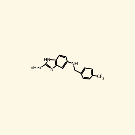 CCCCCCc1nc2cc(NCc3ccc(C(F)(F)F)cc3)ccc2[nH]1